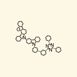 c1ccc(-c2nc(-c3ccccc3)nc(-c3cccc(-c4cccc(-n5c6ccccc6c6cc(-n7c8ccccc8c8c9oc%10ccccc%10c9ccc87)ccc65)c4)c3)n2)cc1